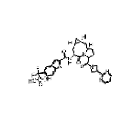 O=C(N[C@H]1C[C@H]2C[C@H]2C[C@H]2CC[C@@H](C(=O)N3CC(c4ncccn4)C3)N2C1=O)c1cc2cc(C(F)(F)P(=O)(O)O)ccc2s1